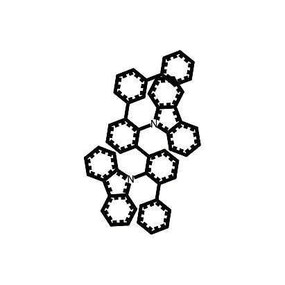 c1ccc(-c2cccc(-c3cccc(-c4cccc(-c5ccccc5)c4-n4c5ccccc5c5ccccc54)c3-n3c4ccccc4c4ccccc43)c2)cc1